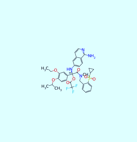 CCOc1cc([C@@](Nc2ccc3c(N)nccc3c2)(OC(=O)C(F)(F)F)C(=O)N(C)Cc2ccccc2S(=O)(=O)C2CC2)ccc1OC(C)C